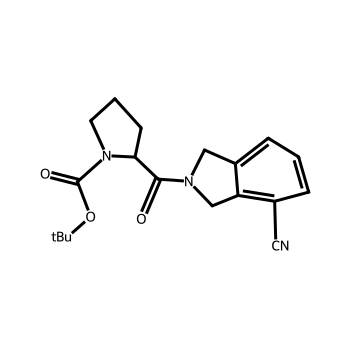 CC(C)(C)OC(=O)N1CCCC1C(=O)N1Cc2cccc(C#N)c2C1